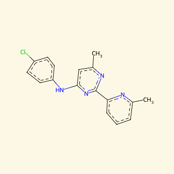 Cc1cccc(-c2nc(C)cc(Nc3ccc(Cl)cc3)n2)n1